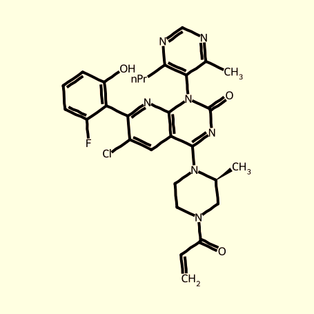 C=CC(=O)N1CCN(c2nc(=O)n(-c3c(C)ncnc3CCC)c3nc(-c4c(O)cccc4F)c(Cl)cc23)[C@@H](C)C1